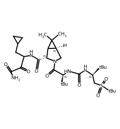 CC(C)(C)[C@H](NC(=O)N[C@H](CS(=O)(=O)C(C)(C)C)C(C)(C)C)C(=O)N1C[C@H]2C([C@H]1C(=O)NC(CC1CC1)C(=O)C(N)=O)C2(C)C